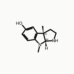 CN1c2ccc(O)cc2[C@]2(C)CCN[C@H]12